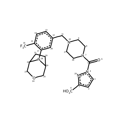 O=C(O)c1ccn(C(=O)N2CCN(Cc3ccc(C(F)(F)F)c(N4C5CCC4COC5)c3)CC2)n1